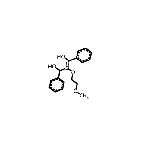 COCCO[SiH](C(O)c1ccccc1)C(O)c1ccccc1